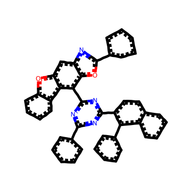 c1ccc(-c2nc(-c3ccc4ccccc4c3-c3ccccc3)nc(-c3c4oc(-c5ccccc5)nc4cc4oc5ccccc5c34)n2)cc1